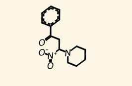 O=C(CC(N1CCCCC1)[N+](=O)[O-])c1ccccc1